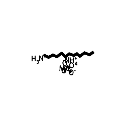 CCCCCCCCCCCCC[NH3+].[NH4+].[O]=[Mo](=[O])([O-])[O-]